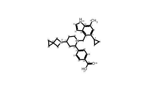 Cc1cc(C2CC2)c(CN2CCC(N3CC4(CC4)C3)CC2c2ccc(C(=O)O)cc2)c2cc[nH]c12